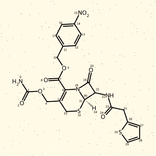 NC(=O)OCC1=C(C(=O)OCc2ccc([N+](=O)[O-])cc2)N2C(=O)C(NC(=O)Cc3cccs3)[C@H]2SC1